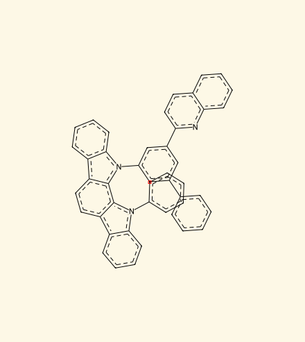 c1ccc(-c2cc(-c3ccc4ccccc4n3)cc(-n3c4ccccc4c4ccc5c6ccccc6n(-c6ccccc6)c5c43)c2)cc1